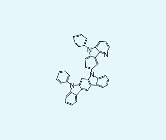 c1ccc(-n2c3ccccc3c3cc4c5ccccc5n(-c5ccc6c(c5)c5ncccc5n6-c5ccccc5)c4cc32)cc1